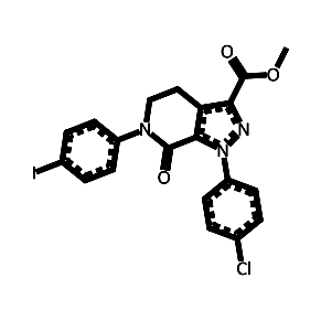 COC(=O)c1nn(-c2ccc(Cl)cc2)c2c1CCN(c1ccc(I)cc1)C2=O